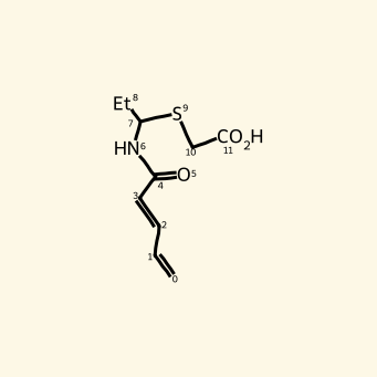 C=CC=CC(=O)NC(CC)SCC(=O)O